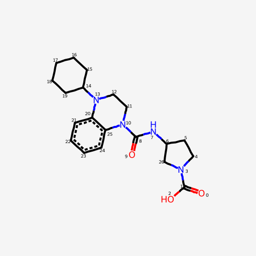 O=C(O)N1CCC(NC(=O)N2CCN(C3CCCCC3)c3ccccc32)C1